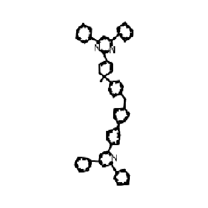 CC1(c2ccc(Cc3ccc(-c4ccc(-c5cc(-c6ccccc6)cc(-c6ccccc6)n5)cc4)cc3)cc2)C=CC(c2nc(-c3ccccc3)cc(-c3ccccc3)n2)=CC1